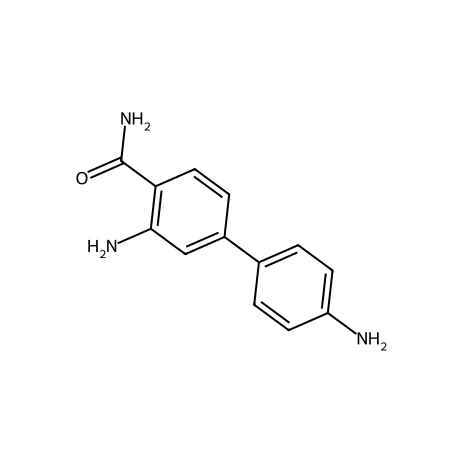 NC(=O)c1ccc(-c2ccc(N)cc2)cc1N